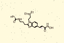 CCCC(=O)NCCCc1nc2cc(/C=C/C(=O)NO)ccc2n1CCN(CC)CC